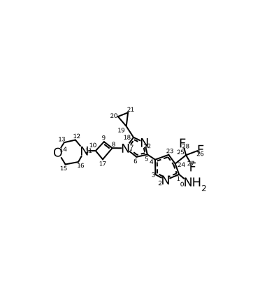 Nc1ncc(-c2cn(C3=CC(N4CCOCC4)C3)c(C3CC3)n2)cc1C(F)(F)F